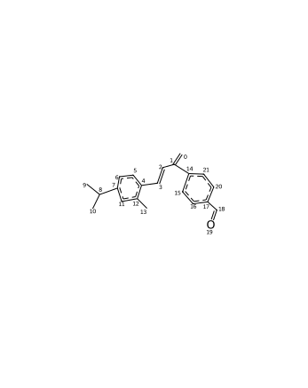 C=C(C=Cc1ccc(C(C)C)cc1C)c1ccc(C=O)cc1